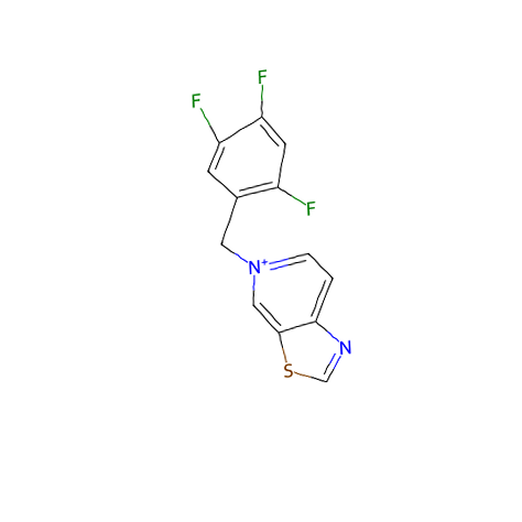 Fc1cc(F)c(C[n+]2ccc3ncsc3c2)cc1F